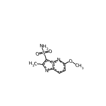 COc1ccc2nc(C)c(S(N)(=O)=O)n2n1